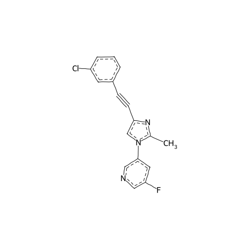 Cc1nc(C#Cc2cccc(Cl)c2)cn1-c1cncc(F)c1